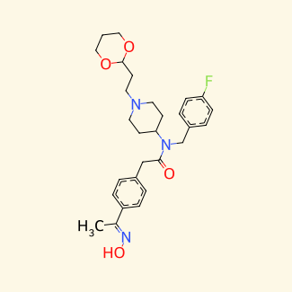 CC(=NO)c1ccc(CC(=O)N(Cc2ccc(F)cc2)C2CCN(CCC3OCCCO3)CC2)cc1